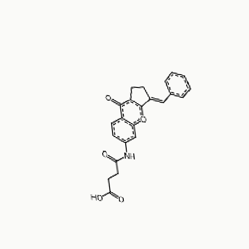 O=C(O)CCC(=O)Nc1ccc2c(=O)c3c(oc2c1)/C(=C/c1ccccc1)CC3